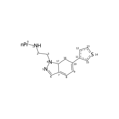 CCCNCCN1N=CC2=CC=C(c3ccsc3)CC21